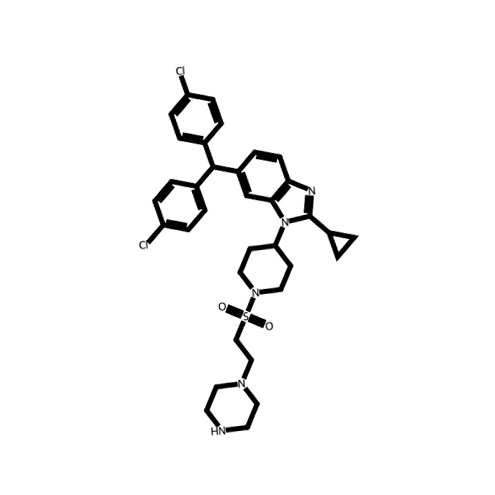 O=S(=O)(CCN1CCNCC1)N1CCC(n2c(C3CC3)nc3ccc(C(c4ccc(Cl)cc4)c4ccc(Cl)cc4)cc32)CC1